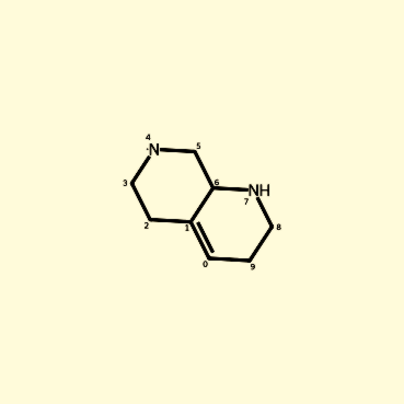 C1=C2CC[N]CC2NCC1